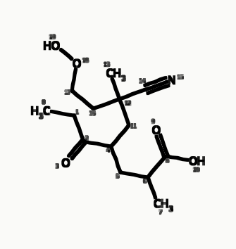 CCC(=O)C(CC(C)C(=O)O)CC(C)(C#N)CCOO